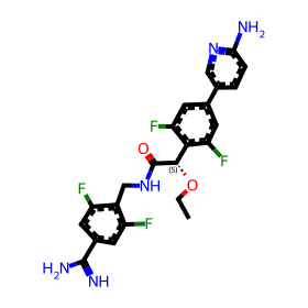 CCO[C@H](C(=O)NCc1c(F)cc(C(=N)N)cc1F)c1c(F)cc(-c2ccc(N)nc2)cc1F